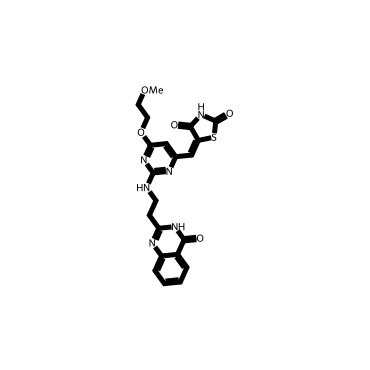 COCCOc1cc(/C=C2/SC(=O)NC2=O)nc(NCCc2nc3ccccc3c(=O)[nH]2)n1